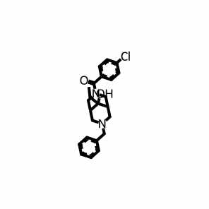 CCC1(O)C2CN(Cc3ccccc3)CC1CN(C(=O)c1ccc(Cl)cc1)C2